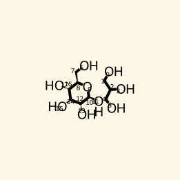 OCC(O)CO.OC[C@H]1O[C@@H](O)[C@H](O)[C@H](O)[C@@H]1O